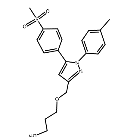 Cc1ccc(-n2nc(COCCCO)cc2-c2ccc(S(C)(=O)=O)cc2)cc1